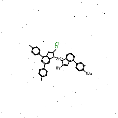 CC1=Cc2c(-c3ccc(C)cc3)cc(-c3ccc(C)cc3)cc2[CH]1[Zr+2][CH]1C(C(C)C)=Cc2c(-c3ccc(C(C)(C)C)cc3)cccc21.[Cl-].[Cl-]